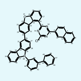 Clc1nc(-c2ccc3ccccc3c2)nc(-c2cccc3oc4ccc(-c5ccc6c(c5)c5ccccc5n6-c5cccc(-c6ccccc6)c5)cc4c23)n1